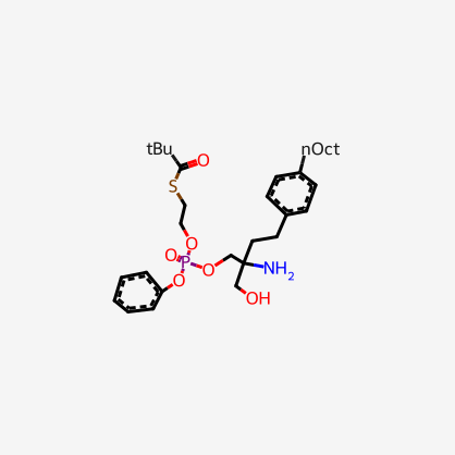 CCCCCCCCc1ccc(CCC(N)(CO)COP(=O)(OCCSC(=O)C(C)(C)C)Oc2ccccc2)cc1